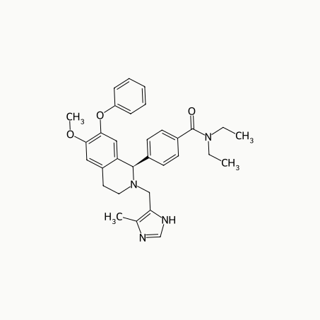 CCN(CC)C(=O)c1ccc([C@@H]2c3cc(Oc4ccccc4)c(OC)cc3CCN2Cc2[nH]cnc2C)cc1